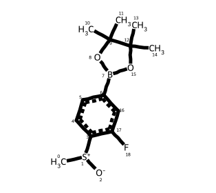 C[S+]([O-])c1ccc(B2OC(C)(C)C(C)(C)O2)cc1F